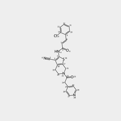 N#Cc1c(NC(=O)/C=C/c2ccccc2Cl)sc2c1CCN(C(=O)Cc1ccncc1)C2